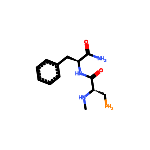 CN[C@@H](CP)C(=O)N[C@@H](Cc1ccccc1)C(N)=O